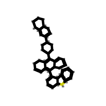 C1=CCC2C(=C1)C(C1CCC(C3=CCC4CCCCC4=C3)CC1)=C1CCC=CC1=C2C1=CC=CC2Sc3ccccc3C12